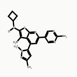 Cc1cc(-c2cc(-c3cnc(N)nc3)nc3sc([S+]([O-])C4CCC4)c(N)c23)n(C)n1